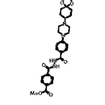 COC(=O)c1ccc(C(=O)NNC(=O)c2ccc(N3CCN(C4CCC5(CC4)OCCO5)CC3)cc2)cc1